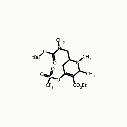 CCOC(=O)C1=C(OS(=O)(=O)C(F)(F)F)CC(CN(C)C(=O)OC(C)(C)C)N(C)C1C